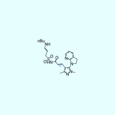 CCCCNC=CCS(=O)(=O)NC(=O)/C=C/c1c(C)nn(C)c1N1CCc2cccnc21